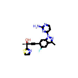 Cc1nn(-c2ccnc(N)n2)c2cc(C#C[C@@](C)(O)c3nccs3)c(F)cc12